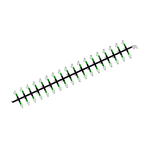 [CH2]C(Cl)(Cl)C(Cl)(Cl)C(Cl)(Cl)C(Cl)(Cl)C(Cl)(Cl)C(Cl)(Cl)C(Cl)(Cl)C(Cl)(Cl)C(Cl)(Cl)C(Cl)(Cl)C(Cl)(Cl)C(Cl)(Cl)C(Cl)(Cl)C(Cl)(Cl)C(Cl)(Cl)C(Cl)(Cl)C(Cl)(Cl)C(Cl)(Cl)C(Cl)(Cl)Cl